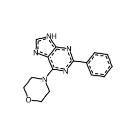 c1ccc(-c2nc(N3CCOCC3)c3nc[nH]c3n2)cc1